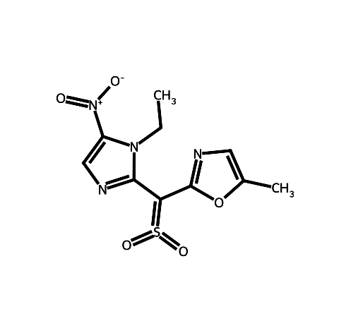 CCn1c([N+](=O)[O-])cnc1C(c1ncc(C)o1)=S(=O)=O